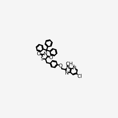 Cn1c(COc2ccc(CC3SC(=O)N(C(c4ccccc4)(c4ccccc4)c4ccccc4)C3=O)cc2)nc2cc(Cl)cnc21